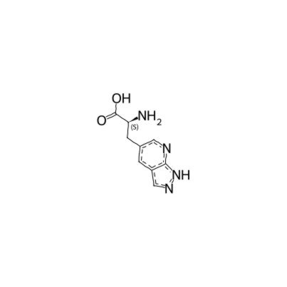 N[C@@H](Cc1cnc2[nH]ncc2c1)C(=O)O